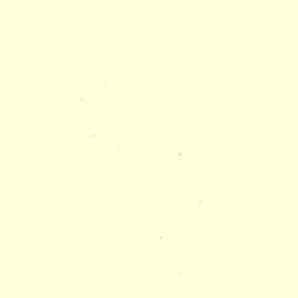 O=C1CCC(N2Cc3ccc(C(=O)O)c(F)c3C2=O)C(=O)N1